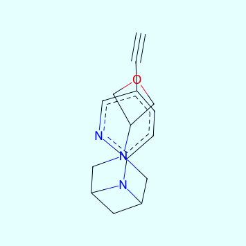 C#Cc1ccc(N2C3CC2CN(C2COC2)C3)nc1